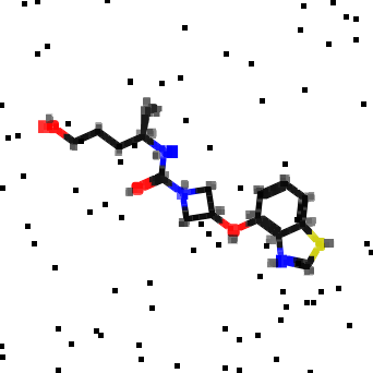 CCC[C@H](CCCO)NC(=O)N1CC(Oc2cccc3scnc23)C1